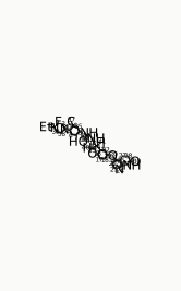 CCN1CCN(c2ccc(NC(O)N[C@@H]3[C@H]4Oc5ccc(Oc6ccnc7c6CCC(=O)N7)cc5[C@@H]34)cc2C(F)(F)F)CC1